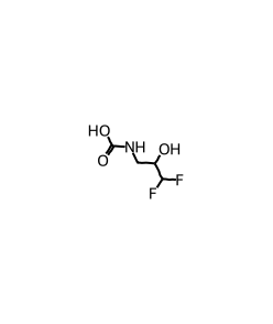 O=C(O)NCC(O)C(F)F